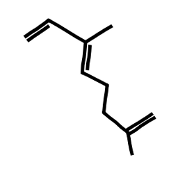 C=CC(C)=CCCC(=C)C